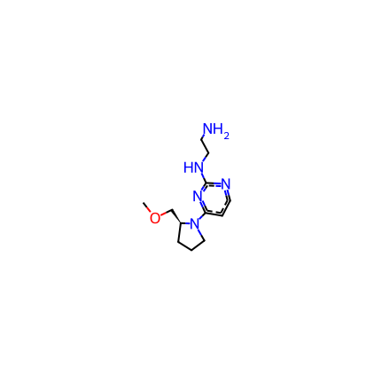 COC[C@@H]1CCCN1c1ccnc(NCCN)n1